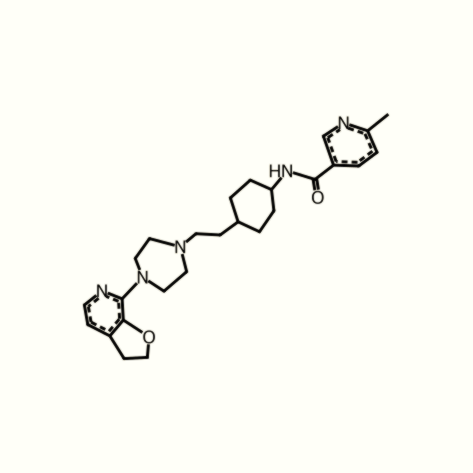 Cc1ccc(C(=O)NC2CCC(CCN3CCN(c4nccc5c4OCC5)CC3)CC2)cn1